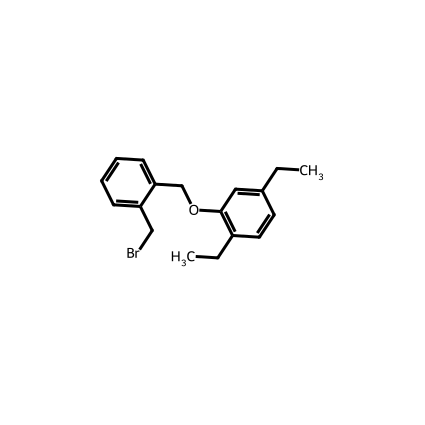 CCc1ccc(CC)c(OCc2ccccc2CBr)c1